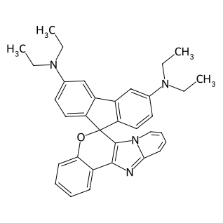 CCN(CC)c1ccc2c(c1)-c1cc(N(CC)CC)ccc1C21Oc2ccccc2-c2nc3ccccn3c21